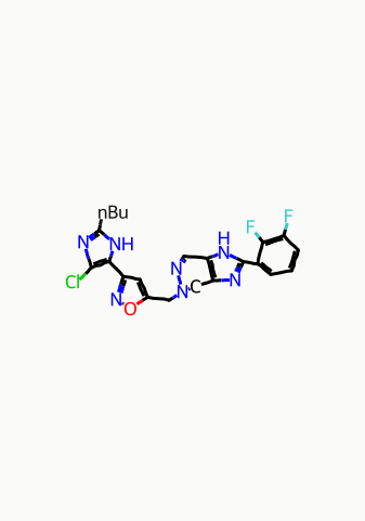 CCCCc1nc(Cl)c(-c2cc(CN3Cc4nc(-c5cccc(F)c5F)[nH]c4C=N3)on2)[nH]1